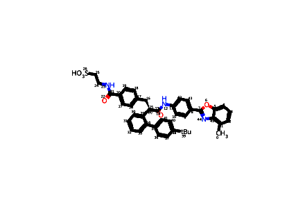 Cc1cccc2oc(-c3ccc(NC(=O)[C@H](Cc4ccc(C(=O)NCCS(=O)(=O)O)cc4)c4ccccc4-c4ccc(C(C)(C)C)cc4)cc3)nc12